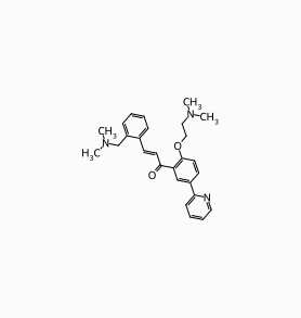 CN(C)CCOc1ccc(-c2ccccn2)cc1C(=O)/C=C/c1ccccc1CN(C)C